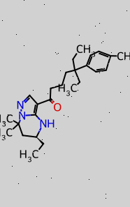 CC[C@H]1CC(C)(C)n2ncc(C(=O)CCCC(CC)(CC)c3ccc(C)cc3)c2N1